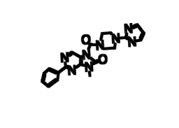 Cn1c(=O)n(C(=O)N2CCN(c3ncccn3)CC2)c2cnc(-c3ccccc3)nc21